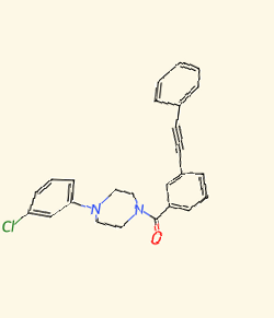 O=C(c1cccc(C#Cc2ccccc2)c1)N1CCN(c2cccc(Cl)c2)CC1